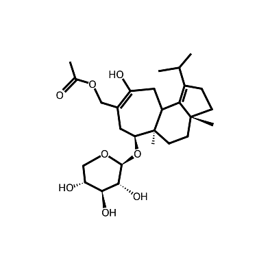 CC(=O)OCC1=C(O)CC2C3=C(C(C)C)CC[C@]3(C)CC[C@@]2(C)[C@@H](O[C@@H]2OC[C@@H](O)[C@H](O)[C@H]2O)C1